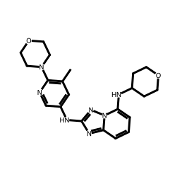 Cc1cc(Nc2nc3cccc(NC4CCOCC4)n3n2)cnc1N1CCOCC1